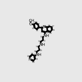 COc1ccc(-c2cc(NCCCNCCCNc3ccncc3)c3ccccc3n2)cc1